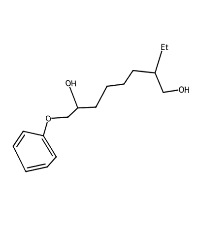 CCC(CO)CCCCC(O)COc1ccccc1